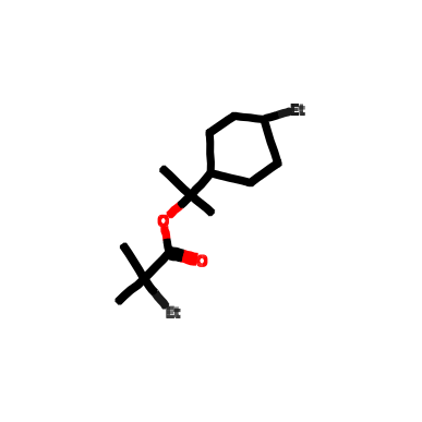 CCC1CCC(C(C)(C)OC(=O)C(C)(C)CC)CC1